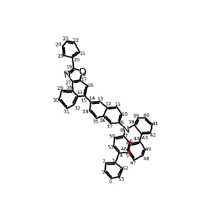 c1ccc(-c2ccc(N(c3ccc4cc(-c5cc6oc(-c7ccccc7)nc6c6ccccc56)ccc4c3)c3ccccc3-c3ccccc3)cc2)cc1